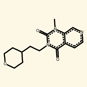 Cn1c(=O)n(CCC2CCOCC2)c(=O)c2ccncc21